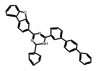 c1ccc(-c2ccc(-c3cccc(C4=NC(c5ccc6c(c5)oc5ccccc56)=NC(c5ccccc5)N4)c3)cc2)cc1